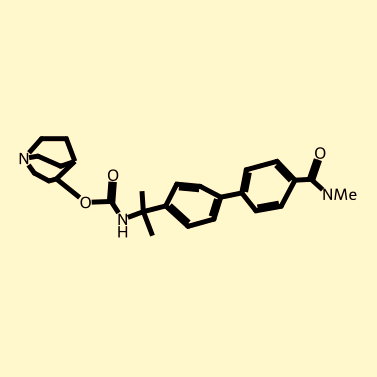 CNC(=O)c1ccc(-c2ccc(C(C)(C)NC(=O)OC3CCN4CCC3CC4)cc2)cc1